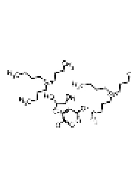 CC(O)CO.CCC[CH2][Sn+]([CH2]CCC)[CH2]CCC.CCC[CH2][Sn+]([CH2]CCC)[CH2]CCC.O=C([O-])/C=C\C(=O)[O-]